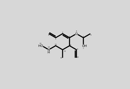 C=C/C=C(/OC(C)O)C(C=C)C(C)CNO